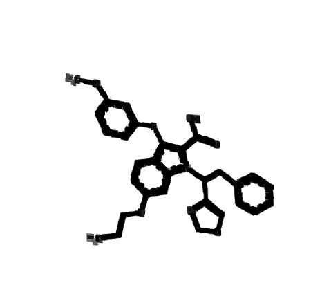 CCCOc1ccc2c(Sc3cccc(OC)c3)c(C(=O)O)n(C(Cc3ccccc3)C3=COCO3)c2c1